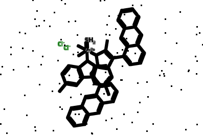 CC1=C(c2cccc3cc4ccccc4cc23)c2cc(C)ccc2[CH]1[Zr+2]([CH3])([CH3])(=[SiH2])[CH]1C(C)=C(c2cccc3cc4ccccc4cc23)c2cc(C)ccc21.[Cl-].[Cl-]